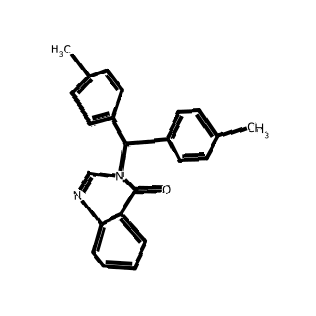 Cc1ccc(C(c2ccc(C)cc2)n2cnc3ccccc3c2=O)cc1